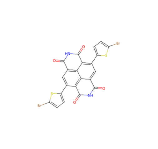 O=C1NC(=O)c2c(-c3ccc(Br)s3)cc3c4c(c(-c5ccc(Br)s5)cc1c24)C(=O)NC3=O